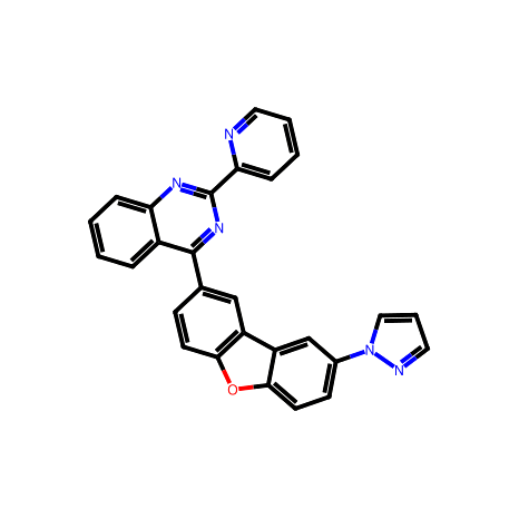 c1ccc(-c2nc(-c3ccc4oc5ccc(-n6cccn6)cc5c4c3)c3ccccc3n2)nc1